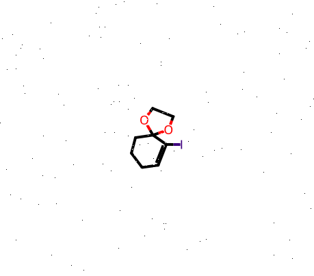 IC1=CCCCC12OCCO2